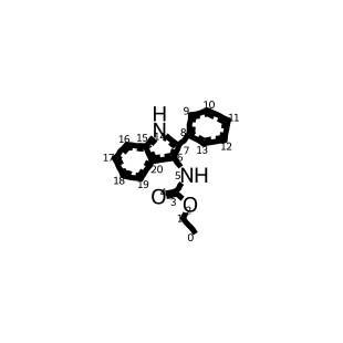 CCOC(=O)Nc1c(-c2ccccc2)[nH]c2ccccc12